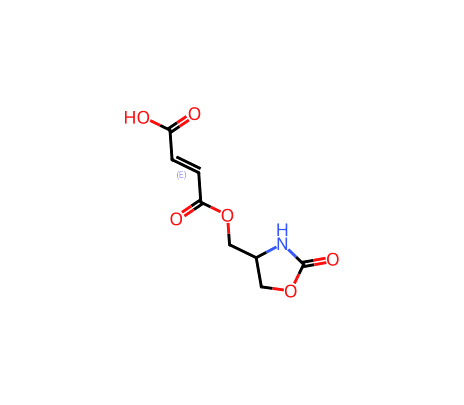 O=C(O)/C=C/C(=O)OCC1COC(=O)N1